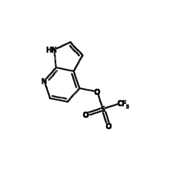 O=S(=O)(Oc1ccnc2[nH]ccc12)C(F)(F)F